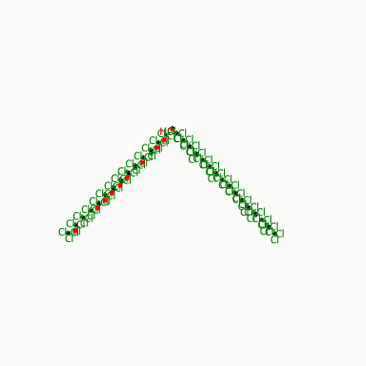 CO.ClC(Cl)Cl.ClC(Cl)Cl.ClC(Cl)Cl.ClC(Cl)Cl.ClC(Cl)Cl.ClC(Cl)Cl.ClC(Cl)Cl.ClC(Cl)Cl.ClC(Cl)Cl.ClC(Cl)Cl.ClC(Cl)Cl.ClC(Cl)Cl.ClC(Cl)Cl.ClC(Cl)Cl.ClC(Cl)Cl.ClC(Cl)Cl.ClC(Cl)Cl.ClC(Cl)Cl.ClC(Cl)Cl.ClC(Cl)Cl.ClC(Cl)Cl.ClC(Cl)Cl.ClC(Cl)Cl.ClC(Cl)Cl.ClC(Cl)Cl.ClC(Cl)Cl.ClC(Cl)Cl.ClC(Cl)Cl.ClC(Cl)Cl.ClC(Cl)Cl